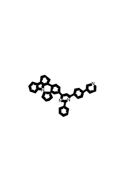 c1ccc(-c2nc(-c3ccc(-c4cccnc4)cc3)cc(-c3ccc(-c4cccc5c6ccccc6n(-c6ccccc6)c45)cc3)n2)cc1